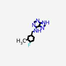 Cc1cc(CNc2ncnc3[nH]cnc23)ccc1F